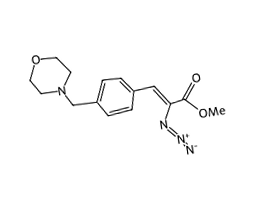 COC(=O)C(=Cc1ccc(CN2CCOCC2)cc1)N=[N+]=[N-]